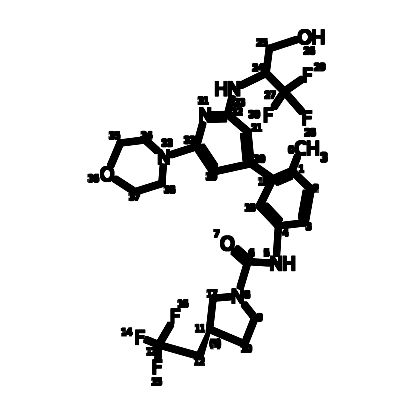 Cc1ccc(NC(=O)N2CC[C@@H](CC(F)(F)F)C2)cc1-c1cc(NC(CO)C(F)(F)F)nc(N2CCOCC2)c1